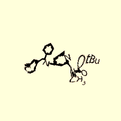 CN(C(=O)OC(C)(C)C)c1cc(N=C(c2ccccc2)c2ccccc2)ccn1